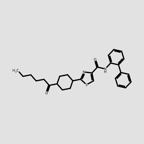 CCCCCC(=O)C1CCC(c2nc(C(=O)Nc3ccccc3-c3ccccc3)cs2)CC1